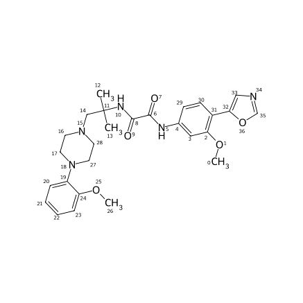 COc1cc(NC(=O)C(=O)NC(C)(C)CN2CCN(c3ccccc3OC)CC2)ccc1-c1cnco1